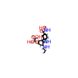 CCCNC1CCCc2c1[nH]c1ccc(C(=O)NO)cc21.O=C(O)C(=O)O